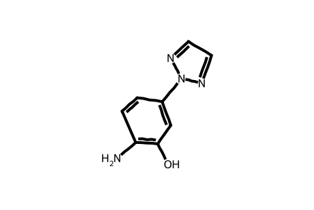 Nc1ccc(-n2nccn2)cc1O